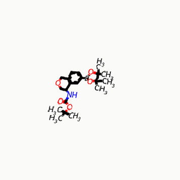 CC(C)(C)OC(=O)N[C@H]1COCc2ccc(B3OC(C)(C)C(C)(C)O3)cc21